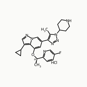 Cc1c(-c2cc(O[C@H](C)c3ccc(F)cn3)c3c(C4CC4)cnn3c2)nnn1C1CCNCC1.Cl